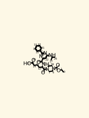 CCOC(=O)N1CCN(C(=O)C(CCCC(=O)O)NC(=O)c2cc(NC(C)C)nc(-c3ccccc3)n2)CC1